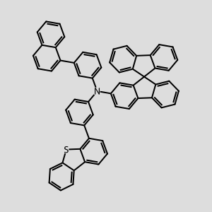 c1cc(-c2cccc3ccccc23)cc(N(c2cccc(-c3cccc4c3sc3ccccc34)c2)c2ccc3c(c2)C2(c4ccccc4-c4ccccc42)c2ccccc2-3)c1